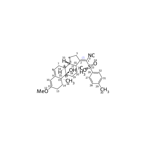 [C-]#[N+]/C(=C1\CC[C@H]2[C@@H]3CC=C4C=C(OC)CC[C@]4(C)[C@@]3(O)CC[C@]12C)S(=O)(=O)c1ccc(C)cc1